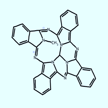 Cn1/c2c3ccccc3/c1=N\c1c3ccccc3c3n1C1n4c(c5ccccc5c4/N=2)N=c2c4ccccc4c(n21)=N3